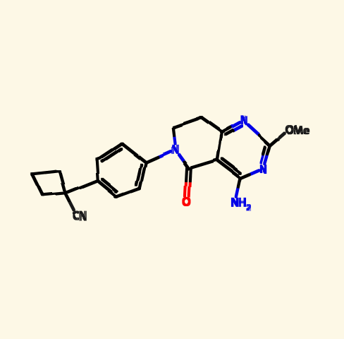 COc1nc(N)c2c(n1)CCN(c1ccc(C3(C#N)CCC3)cc1)C2=O